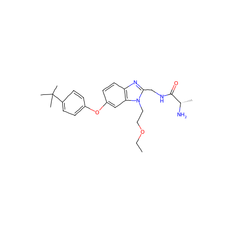 CCOCCn1c(CNC(=O)[C@H](C)N)nc2ccc(Oc3ccc(C(C)(C)C)cc3)cc21